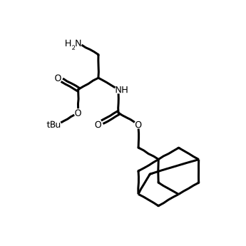 CC(C)(C)OC(=O)C(CN)NC(=O)OCC12CC3CC(CC(C3)C1)C2